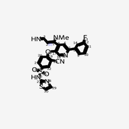 CN/C(=C\C=N)c1cc(-c2cccc(F)c2)ncc1Oc1ccc(S(=O)(=O)Nc2nccs2)cc1C#N